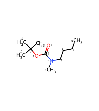 CCCCN(C)C(=O)OC(C)(C)C